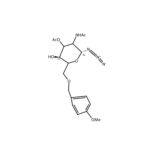 COc1ccc(COCC2O[C@@H](N=[N+]=[N-])C(NC(C)=O)C(OC(C)=O)[C@@H]2O)cc1